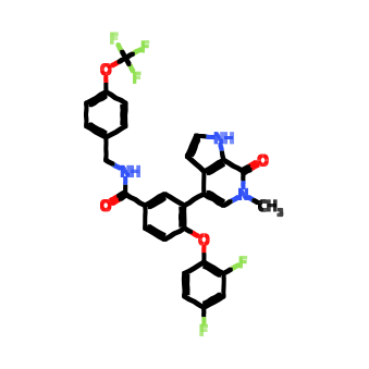 Cn1cc(-c2cc(C(=O)NCc3ccc(OC(F)(F)F)cc3)ccc2Oc2ccc(F)cc2F)c2cc[nH]c2c1=O